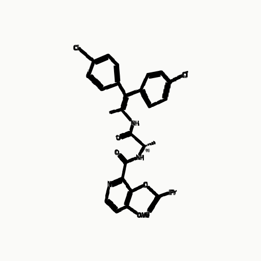 COc1ccnc(C(=O)N[C@@H](C)C(=O)NC(C)=C(c2ccc(Cl)cc2)c2ccc(Cl)cc2)c1OC(=O)C(C)C